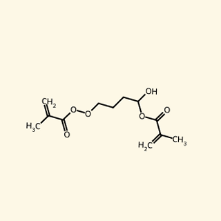 C=C(C)C(=O)OOCCCC(O)OC(=O)C(=C)C